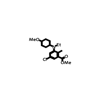 CCN(c1cc(Cl)cc(C(=O)OC)c1C)C1CCC(OC)CC1